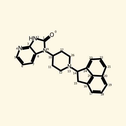 O=c1[nH]c2ncccc2n1C1CCN(C2Cc3cccc4cccc2c34)CC1